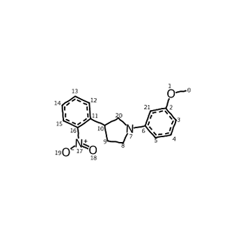 COc1cccc(N2CCC(c3ccccc3[N+](=O)[O-])C2)c1